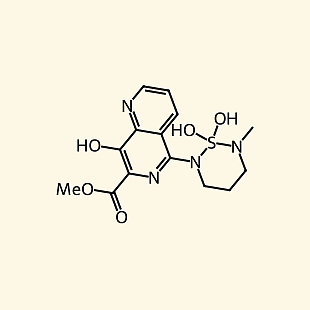 COC(=O)c1nc(N2CCCN(C)S2(O)O)c2cccnc2c1O